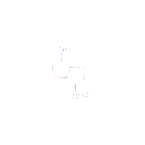 CC(=O)NC1COC2C(N)COC12